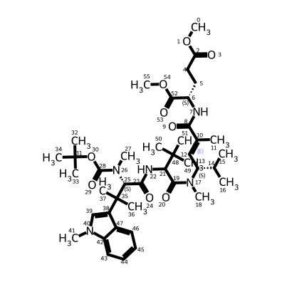 COC(=O)CC[C@H](NC(=O)/C(C)=C/[C@H](C(C)C)N(C)C(=O)C(NC(=O)[C@@H](N(C)C(=O)OC(C)(C)C)C(C)(C)c1cn(C)c2ccccc12)C(C)(C)C)C(=O)OC